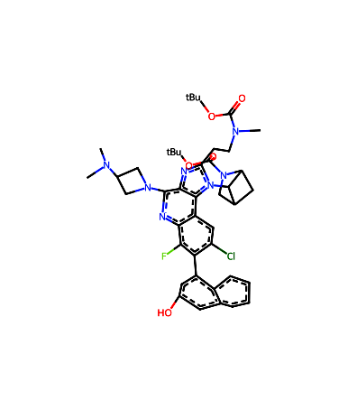 CN(CCc1nc2c(N3CC(N(C)C)C3)nc3c(F)c(-c4cc(O)cc5ccccc45)c(Cl)cc3c2n1C1C2CC1N(C(=O)OC(C)(C)C)C2)C(=O)OC(C)(C)C